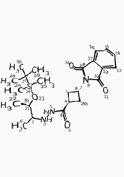 CC(NNC(=O)[C@H]1C[C@H](N2C(=O)c3ccccc3C2=O)C1)[C@@H](C)O[Si](C)(C)C(C)(C)C